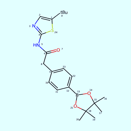 CC(C)(C)c1cnc(NC(=O)Cc2ccc(B3OC(C)(C)C(C)(C)O3)cc2)s1